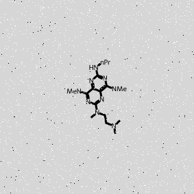 CCCNc1nc(NC)c2nc(N(C)CCN(C)C)nc(NC)c2n1